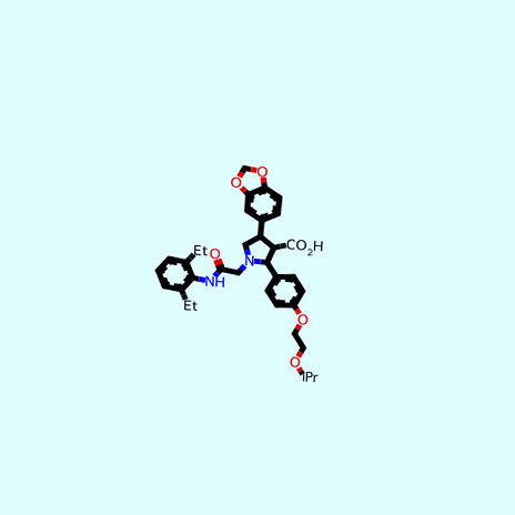 CCc1cccc(CC)c1NC(=O)CN1CC(c2ccc3c(c2)OCO3)C(C(=O)O)C1c1ccc(OCCOC(C)C)cc1